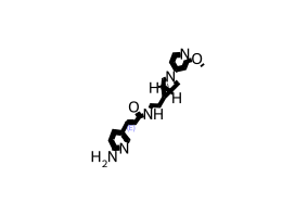 COc1cc(N2C[C@@H]3C(CCNC(=O)/C=C/c4ccc(N)nc4)[C@@H]3C2)ccn1